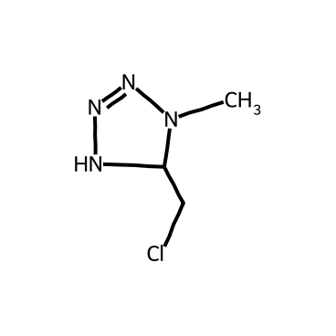 CN1N=NNC1CCl